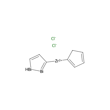 C1=CC[C]([Zr+2][C]2=[Bi][BiH][CH]=C2)=C1.[Cl-].[Cl-]